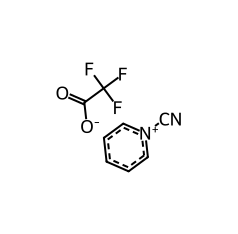 N#C[n+]1ccccc1.O=C([O-])C(F)(F)F